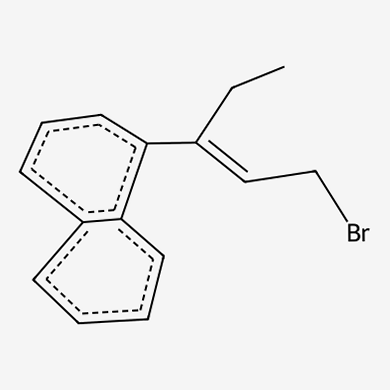 CCC(=CCBr)c1cccc2ccccc12